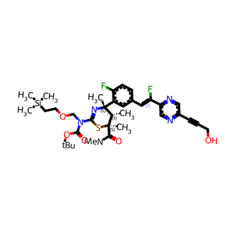 CNC(=O)[C@@]1(C)SC(N(COCC[Si](C)(C)C)C(=O)OC(C)(C)C)=N[C@](C)(c2cc(/C=C(\F)c3cnc(C#CCO)cn3)ccc2F)[C@@H]1C